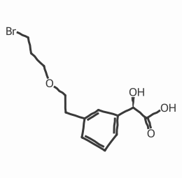 O=C(O)[C@H](O)c1cccc(CCOCCCBr)c1